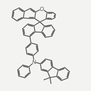 CC1(C)c2ccccc2-c2ccc(N(c3ccccc3)c3ccc(-c4cccc5c4-c4ccccc4C54c5ccccc5Oc5cc6ccccc6cc54)cc3)cc21